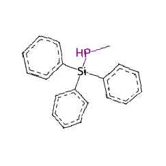 CP[Si](c1ccccc1)(c1ccccc1)c1ccccc1